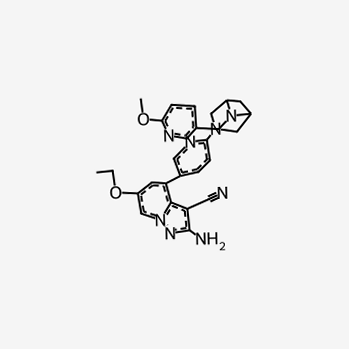 CCOc1cc(-c2ccc(N3CC4CC(C3)N4Cc3ccc(OC)nc3)nc2)c2c(C#N)c(N)nn2c1